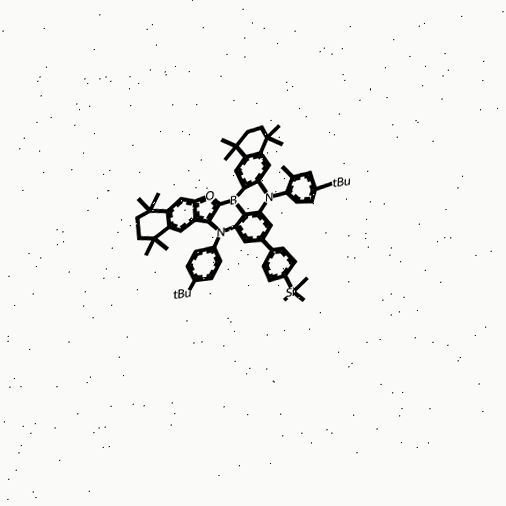 Cc1cc(C(C)(C)C)ccc1N1c2cc3c(cc2B2c4oc5cc6c(cc5c4N(c4ccc(C(C)(C)C)cc4)c4cc(-c5ccc([Si](C)(C)C)cc5)cc1c42)C(C)(C)CCC6(C)C)C(C)(C)CCC3(C)C